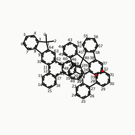 CC1(C)c2ccccc2-c2cc3c4ccccc4c4cc(N(c5ccccc5-c5ccccc5)c5cccc6c5C5(c7ccccc7-c7ccccc75)c5ccccc5-6)ccc4c3cc21